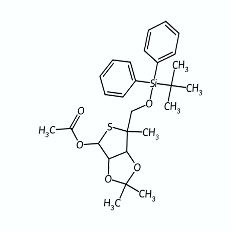 CC(=O)OC1SC(C)(CO[Si](c2ccccc2)(c2ccccc2)C(C)(C)C)C2OC(C)(C)OC12